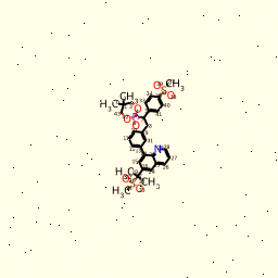 CC1(C)COP(=O)(C(Cc2cccc(-c3cc(C(C)(C)S(C)(=O)=O)cc4cccnc34)c2)c2ccc(S(C)(=O)=O)cc2)OC1